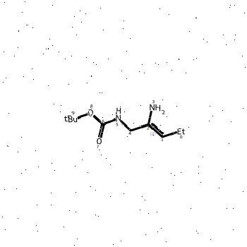 CC/C=C(\N)CNC(=O)OC(C)(C)C